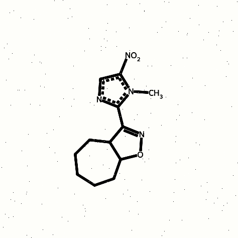 Cn1c([N+](=O)[O-])cnc1C1=NOC2CCCCCC12